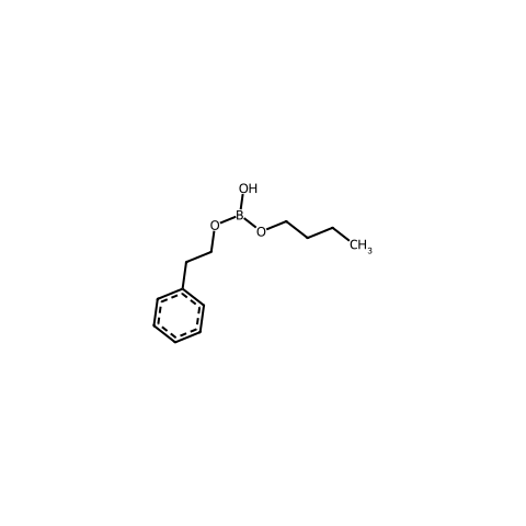 CCCCOB(O)OCCc1ccccc1